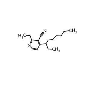 CCCCCCC(CC)c1ccnc(CC)c1C#N